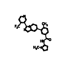 Cc1ccc(C(=O)Nc2cccn2C)cc1-c1ccn2c(-c3cnccc3C(F)(F)F)ncc2c1